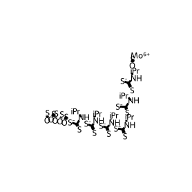 CC(C)NC(=S)[S-].CC(C)NC(=S)[S-].CC(C)NC(=S)[S-].CC(C)NC(=S)[S-].CC(C)NC(=S)[S-].CC(C)NC(=S)[S-].O=S.O=S.O=S.O=S.O=S.O=S.[Mo+6]